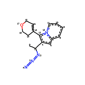 CC(N=[N+]=[N-])c1cc2ccccn2c1C1=CCOCC1